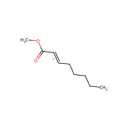 [CH2]CCCC/C=C/C(=O)OC